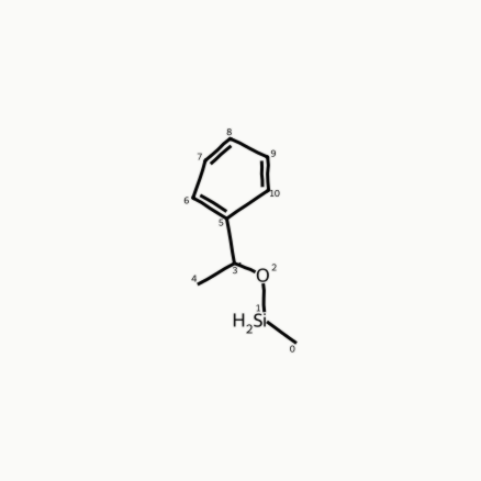 C[SiH2]O[C](C)c1ccccc1